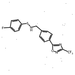 Fc1ccc(SNCc2ccc(-c3nc(C(F)(F)F)no3)cc2)cc1